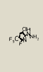 NNc1nc(F)c(C(F)(F)F)cc1Cl